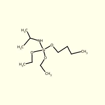 CCCCO[Si](NC(C)C)(OCC)OCC